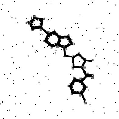 C[C@@H]1C[C@H](Cn2ncc3cc(-c4cn[nH]c4)ccc32)CN1C(=O)c1cccc(F)c1